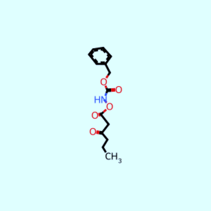 CCCC(=O)CC(=O)ONC(=O)OCc1ccccc1